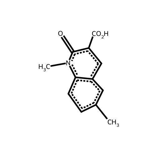 Cc1ccc2c(c1)cc(C(=O)O)c(=O)n2C